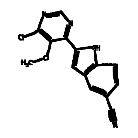 COc1c(Cl)ncnc1-c1cc2cc(C#N)ccc2[nH]1